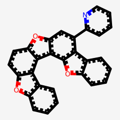 c1ccc(-c2cc3oc4ccc5oc6ccccc6c5c4c3c3oc4ccccc4c23)nc1